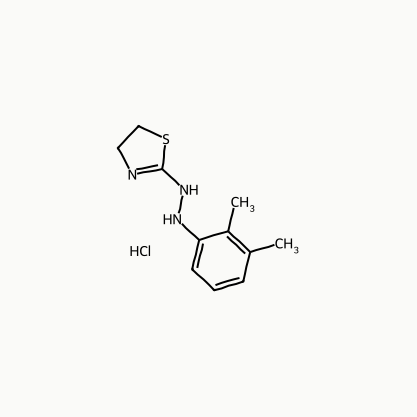 Cc1cccc(NNC2=NCCS2)c1C.Cl